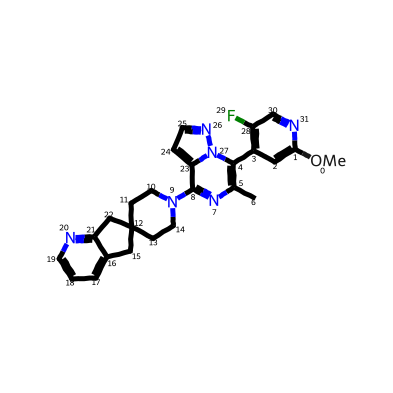 COc1cc(-c2c(C)nc(N3CCC4(CC3)Cc3cccnc3C4)c3ccnn23)c(F)cn1